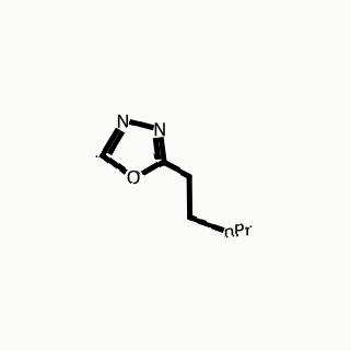 CCCCCc1nn[c]o1